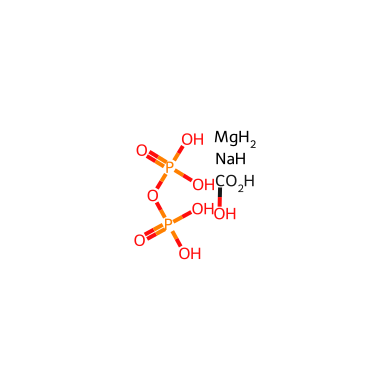 O=C(O)O.O=P(O)(O)OP(=O)(O)O.[MgH2].[NaH]